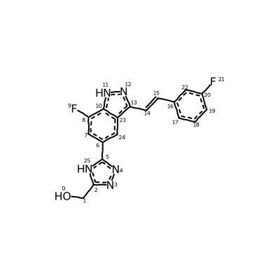 OCc1nnc(-c2cc(F)c3[nH]nc(C=Cc4cccc(F)c4)c3c2)[nH]1